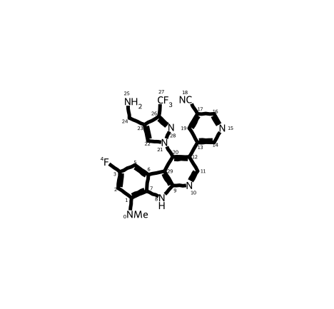 CNc1cc(F)cc2c1[nH]c1ncc(-c3cncc(C#N)c3)c(-n3cc(CN)c(C(F)(F)F)n3)c12